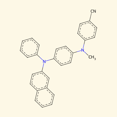 CN(c1ccc(C#N)cc1)c1ccc(N(c2ccccc2)c2ccc3ccccc3c2)cc1